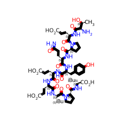 CC[C@H](C)[C@H](NC(=O)[C@@H]1CCCN1C(=O)[C@@H](NC(=O)[C@H](CCC(=O)O)NC(=O)[C@H](CCC(=O)O)NC(=O)[C@H](Cc1ccc(O)cc1)NC(=O)[C@H](CCC(N)=O)NC(=O)[C@@H]1CCCN1C(=O)[C@H](CCC(=O)O)NC(=O)[C@@H](N)[C@@H](C)O)[C@@H](C)CC)C(=O)O